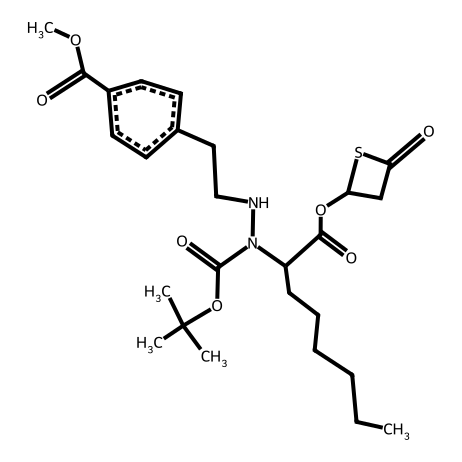 CCCCCCC(C(=O)OC1CC(=O)S1)N(NCCc1ccc(C(=O)OC)cc1)C(=O)OC(C)(C)C